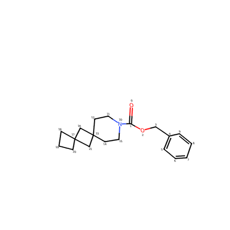 O=C(OCc1ccccc1)N1CCC2(CC1)CC1(CCC1)C2